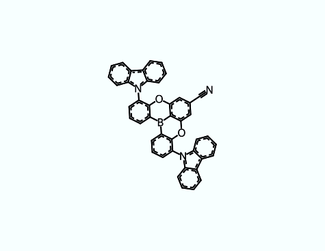 N#Cc1cc2c3c(c1)Oc1c(cccc1-n1c4ccccc4c4ccccc41)B3c1cccc(-n3c4ccccc4c4ccccc43)c1O2